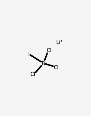 Cl[B-](Cl)(Cl)I.[Li+]